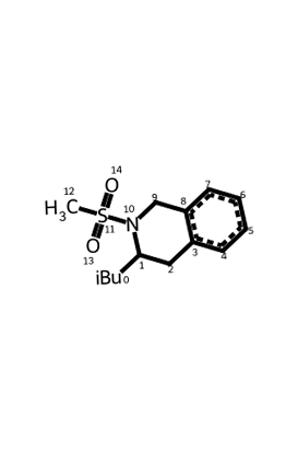 CCC(C)C1Cc2ccccc2CN1S(C)(=O)=O